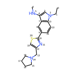 CCn1cc(NC)c2cc(-c3nc(CN4CCCC4)cs3)ccc21